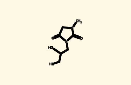 CN1CC(=O)N(CC(O)CO)C1=O